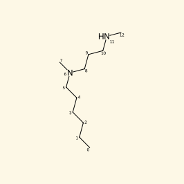 CCCCCCN(C)CCCNC